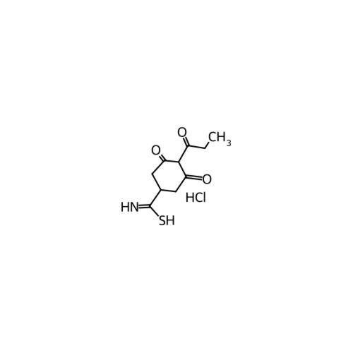 CCC(=O)C1C(=O)CC(C(=N)S)CC1=O.Cl